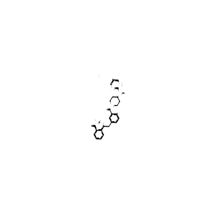 CN(c1ncc(C(=O)O)cn1)C1CCN(C(=O)c2cc(Cc3n[nH]c(=O)c4ccccc34)ccc2F)CC1